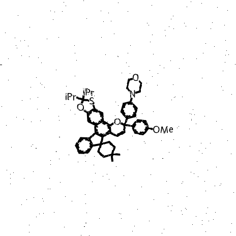 COc1ccc(C2(c3ccc(N4CCOCC4)cc3)C=Cc3c4c(c5cc6c(cc5c3O2)SC(C(C)C)(C(C)C)O6)-c2ccccc2C42CCC(C)(C)CC2)cc1